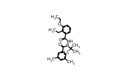 CCOc1cccc(C(=O)NN(C(=O)c2cc(C)cc(C)c2)C(C)(C)C)c1CC